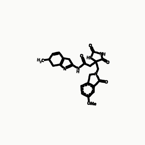 COc1ccc2c(c1)C(=O)N(CC1(CC(=O)NC3=NC4=C(C=CC(C)C4)C3)NC(=O)NC1=O)C2